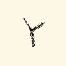 CCCCCCCCCCCCCCCCC[PH](C)(CCCCCCCCCCCCCCCCC)CCCCCCCCCCCCCCCCC